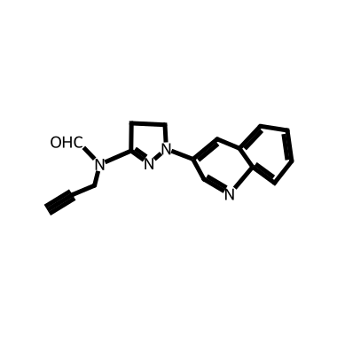 C#CCN(C=O)C1=NN(c2cnc3ccccc3c2)CC1